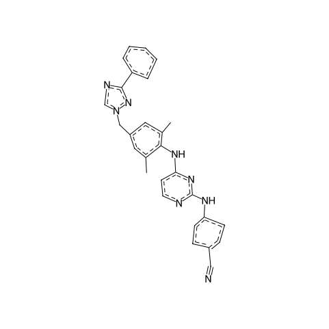 Cc1cc(Cn2cnc(-c3ccccc3)n2)cc(C)c1Nc1ccnc(Nc2ccc(C#N)cc2)n1